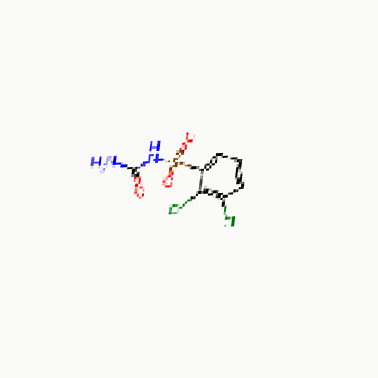 NC(=O)NS(=O)(=O)c1cccc(Cl)c1Cl